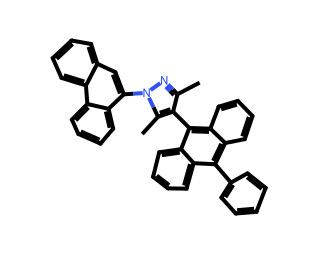 Cc1nn(-c2cc3ccccc3c3ccccc23)c(C)c1-c1c2ccccc2c(-c2ccccc2)c2ccccc12